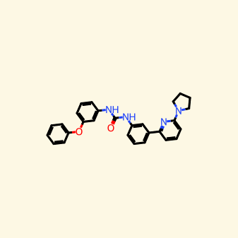 O=C(Nc1cccc(Oc2ccccc2)c1)Nc1cccc(-c2cccc(N3CCCC3)n2)c1